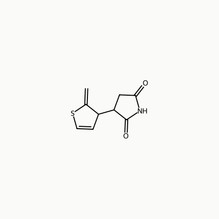 C=C1SC=CC1C1CC(=O)NC1=O